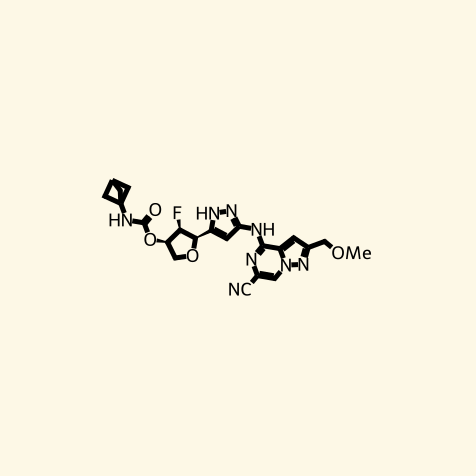 COCc1cc2c(Nc3cc([C@H]4OC[C@@H](OC(=O)NC56CC(C5)C6)[C@H]4F)[nH]n3)nc(C#N)cn2n1